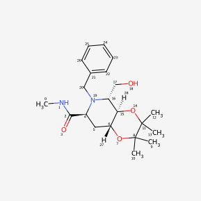 CNC(=O)[C@@H]1C[C@H]2OC(C)(C)C(C)(C)O[C@@H]2[C@@H](CO)N1Cc1ccccc1